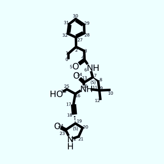 CCC(CC(=O)N[C@@H](CC(C)(C)C)C(=O)NC(C#C[C@@H]1CCNC1=O)CO)c1ccccc1